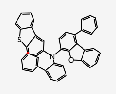 c1ccc(-c2ccccc2N(c2ccc3sc4ccccc4c3c2)c2ccc(-c3ccccc3)c3c2oc2ccccc23)cc1